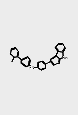 CC1CC=CC=C1c1ccc(Nc2ccc(-c3ccc4[nH]c5ccccc5c4c3)cc2)cc1